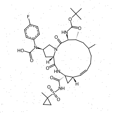 CC1CC/C=C\[C@@H]2C[C@@]2(C(=O)NS(=O)(=O)C2(C)CC2)NC(=O)[C@@H]2C[C@@H](N(C(=O)O)c3ccc(F)cc3)CN2C(=O)[C@@H](NC(=O)OC(C)(C)C)[C@H](C)C1